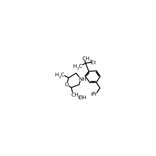 CC1CNCC(C)O1.CCC(C)(C)c1ccc(CC(C)C)cc1.Cl